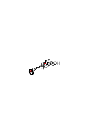 OOOSC(F)(F)C(F)(F)OC(F)(F)C(F)(F)CCCCOC12CC3CC(CC(C3)C1)C2